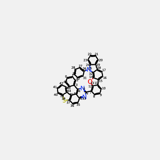 c1ccc(-c2nc(-c3cccc4c3oc3c4ccc4c5ccccc5n(-c5ccccc5)c43)nc3ccc4sc5ccccc5c4c23)cc1